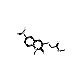 CNC(=O)COc1cc2cc([N+](=O)[O-])ccc2n(C)c1=O